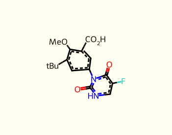 COc1c(C(=O)O)cc(-n2c(=O)[nH]cc(F)c2=O)cc1C(C)(C)C